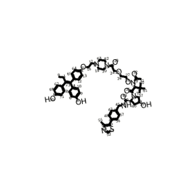 CCC(=C(c1ccc(O)cc1)c1ccc(OCCN2CCN(C(=O)COCCON(C(C)=O)[C@H](C(=O)N3C[C@H](O)C[C@H]3C(=O)NCc3ccc(-c4scnc4C)cc3)C(C)(C)C)CC2)cc1)c1ccc(O)cc1